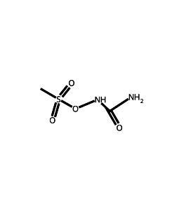 CS(=O)(=O)ONC(N)=O